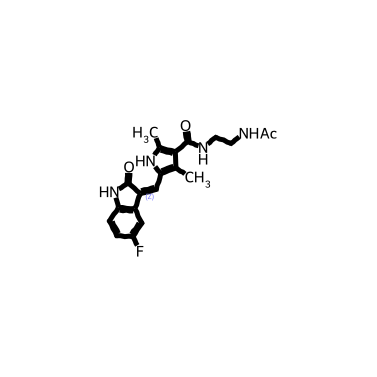 CC(=O)NCCNC(=O)c1c(C)[nH]c(/C=C2\C(=O)Nc3ccc(F)cc32)c1C